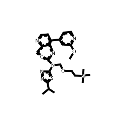 COc1cc(-c2ccnc3ccc(N(COCC[Si](C)(C)C)c4nnc(C(C)C)s4)nc23)ccn1